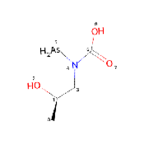 C[C@@H](O)CN([AsH2])C(=O)O